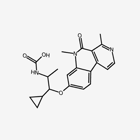 Cc1nccc2c1c(=O)n(C)c1cc(OC(C3CC3)C(C)NC(=O)O)ccc21